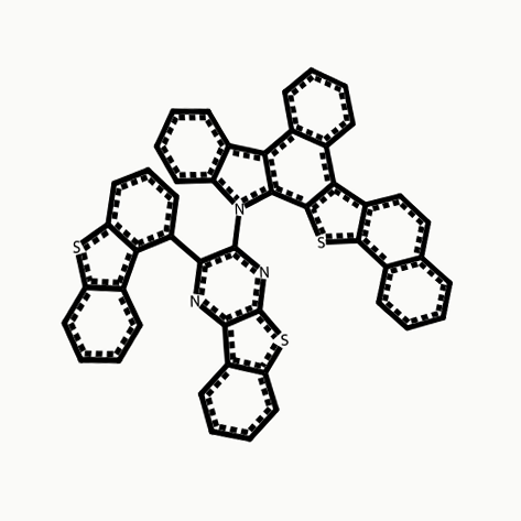 c1ccc2c(c1)ccc1c2sc2c1c1ccccc1c1c3ccccc3n(-c3nc4sc5ccccc5c4nc3-c3cccc4sc5ccccc5c34)c21